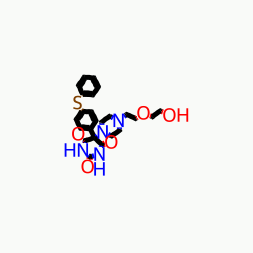 O=C1NC(=O)C(c2ccc(Sc3ccccc3)cc2)(N2CCN(CCOCCO)CC2)C(=O)N1